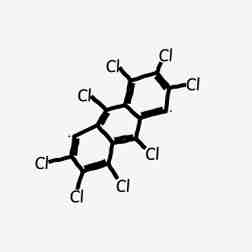 Clc1[c]c2c(Cl)c3c(Cl)c(Cl)c(Cl)[c]c3c(Cl)c2c(Cl)c1Cl